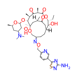 CC[C@H]1OC(=O)[C@H](C)C(=O)[C@H](C)[C@@H](O[C@@H]2O[C@H](C)C[C@H](N(C)C)[C@H]2O)[C@@]2(C)C[C@@H](C)C(=O)C[C@@H](CC/C(=N\OCc3ccc(-c4nc(N)ns4)cn3)CO2)[C@]1(C)O